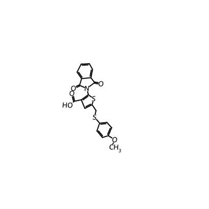 COc1ccc(SCc2cc(C(=O)O)c(N3C(=O)c4ccccc4C3=O)s2)cc1